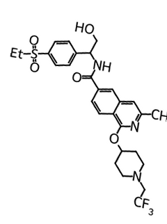 CCS(=O)(=O)c1ccc(C(CO)NC(=O)c2ccc3c(OC4CCN(CC(F)(F)F)CC4)nc(C)cc3c2)cc1